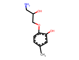 Cc1ccc(OCC(O)CN)c(O)c1